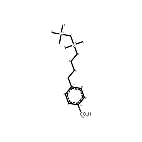 C[Si](C)(C)C[Si](C)(C)CCCCc1ccc(C(=O)O)cc1